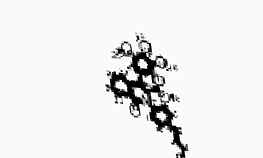 CCCCc1ccc(-n2c(C(=O)OC)c(-c3cc(OC)c(OC)c(OC)c3)c3ccccc3c2=O)cc1